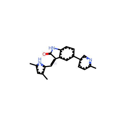 Cc1ccc(-c2ccc3c(c2)/C(=C/c2[nH]c(C)cc2C)C(=O)N3)cn1